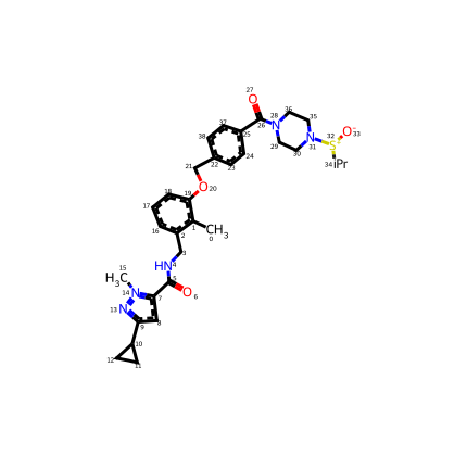 Cc1c(CNC(=O)c2cc(C3CC3)nn2C)cccc1OCc1ccc(C(=O)N2CCN([S+]([O-])C(C)C)CC2)cc1